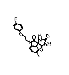 Cc1ccc2c(c1)C1(NC(=O)NC1=O)C(=O)N2CCOc1ccc(F)cc1